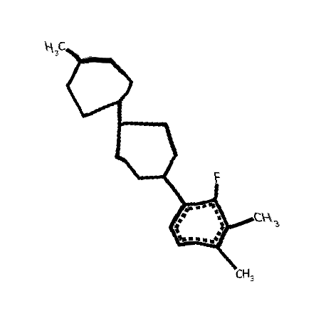 Cc1ccc(C2CCC(C3CCC(C)CC3)CC2)c(F)c1C